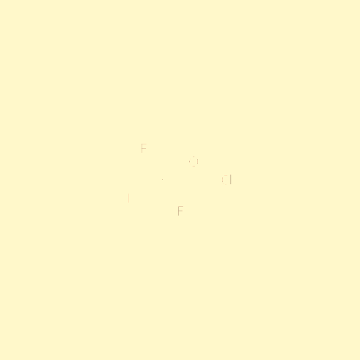 FC(F)(F)OCl